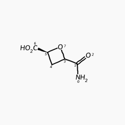 NC(=O)C1C[C@@H](C(=O)O)O1